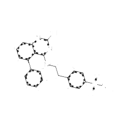 NS(=O)(=O)c1ccc(CCNc2nc(Cl)nc3cccc(-c4ccccc4)c23)cc1